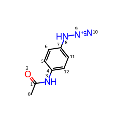 CC(=O)Nc1ccc(N[N+]#N)cc1